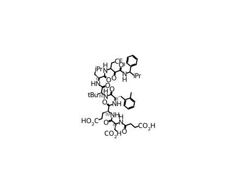 Cc1ccccc1C[C@H](NC(=O)[C@H](CCC(=O)O)NC(=O)[C@H](CC(=O)O)NC(=O)CCC(=O)O)C(=O)N[C@H](C(=O)N[C@@H](CC(C)C)C(=O)NC(CC(F)(F)F)C(=O)C(=O)NC(c1ccccc1)C(C)C)C(C)(C)C